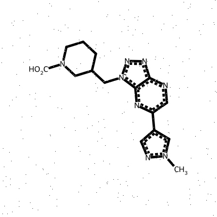 Cn1cc(-c2cnc3nnn(CC4CCCN(C(=O)O)C4)c3n2)cn1